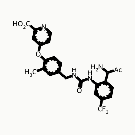 CC(=O)C(N)c1ccc(C(F)(F)F)cc1NC(=O)NCc1ccc(Oc2ccnc(C(=O)O)c2)c(C)c1